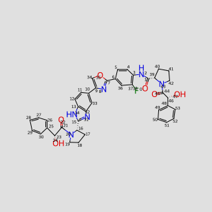 O=C(Nc1ccc(-c2nc(-c3ccc4[nH]c([C@@H]5CCCN5C(=O)[C@H](O)c5ccccc5)nc4c3)co2)cc1F)[C@@H]1CCCN1C(=O)[C@H](O)c1ccccc1